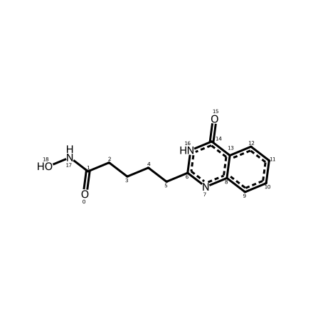 O=C(CCCCc1nc2ccccc2c(=O)[nH]1)NO